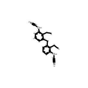 CCc1c(Cc2cccc(OC#N)c2CC)cccc1OC#N